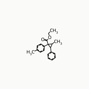 CCOC(=O)C1(c2ccc(C)cc2)C(C)C1c1ccccc1